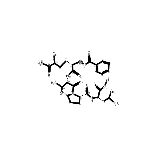 COC(=O)[C@H](CC(C)C)NC(=O)[C@@H]1CCCN1C(=O)[C@@H](NC(=O)[C@H](CCC(O)C(N)=O)NOC(=O)c1ccccc1)C(C)C